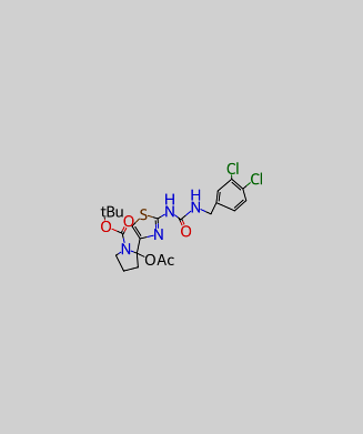 CC(=O)OC1(c2csc(NC(=O)NCc3ccc(Cl)c(Cl)c3)n2)CCCN1C(=O)OC(C)(C)C